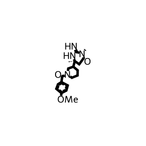 COc1ccc(C(=O)N2CCCC([C@]3(C)CC(=O)N(C)C(=N)N3)C2)cc1